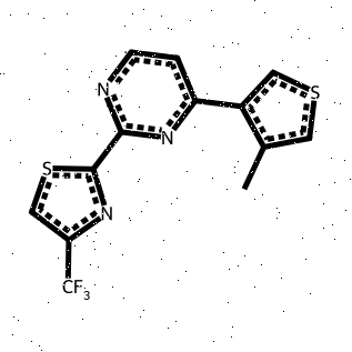 Cc1cscc1-c1c[c]nc(-c2nc(C(F)(F)F)cs2)n1